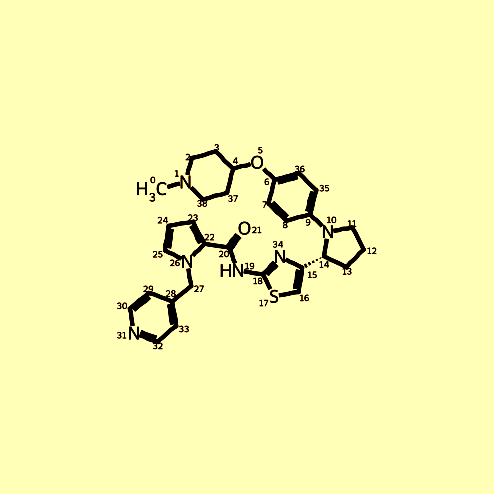 CN1CCC(Oc2ccc(N3CCC[C@@H]3c3csc(NC(=O)c4cccn4Cc4ccncc4)n3)cc2)CC1